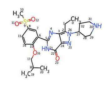 CCc1c2nc(-c3cc(S(C)(=O)=O)ccc3OCC(C)C)[nH]c(=O)c2nn1C1CCNCC1